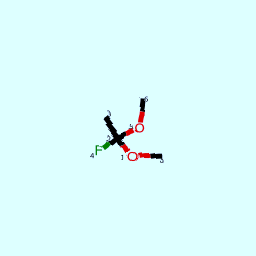 COC(C)(F)OC